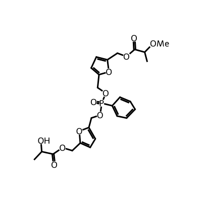 COC(C)C(=O)OCc1ccc(COP(=O)(OCc2ccc(COC(=O)C(C)O)o2)c2ccccc2)o1